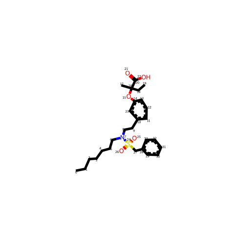 CCCCCCCN(CCc1cccc(OC(C)(CC)C(=O)O)c1)S(=O)(=O)Cc1ccccc1